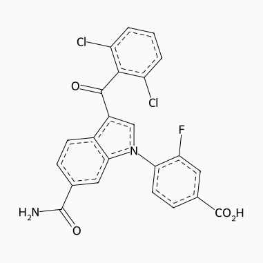 NC(=O)c1ccc2c(C(=O)c3c(Cl)cccc3Cl)cn(-c3ccc(C(=O)O)cc3F)c2c1